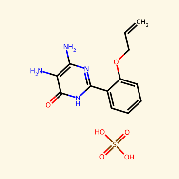 C=CCOc1ccccc1-c1nc(N)c(N)c(=O)[nH]1.O=S(=O)(O)O